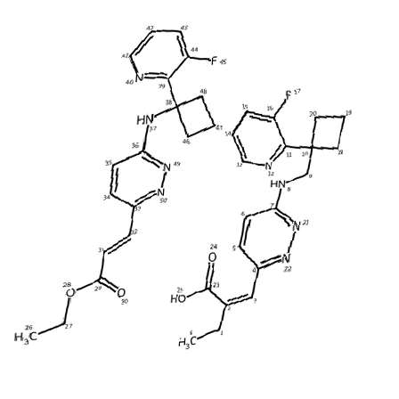 CCC(=Cc1ccc(NCC2(c3ncccc3F)CCC2)nn1)C(=O)O.CCOC(=O)C=Cc1ccc(NC2(c3ncccc3F)CCC2)nn1